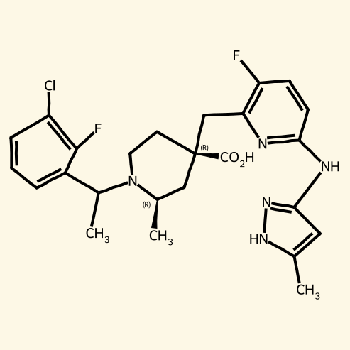 Cc1cc(Nc2ccc(F)c(C[C@@]3(C(=O)O)CCN(C(C)c4cccc(Cl)c4F)[C@H](C)C3)n2)n[nH]1